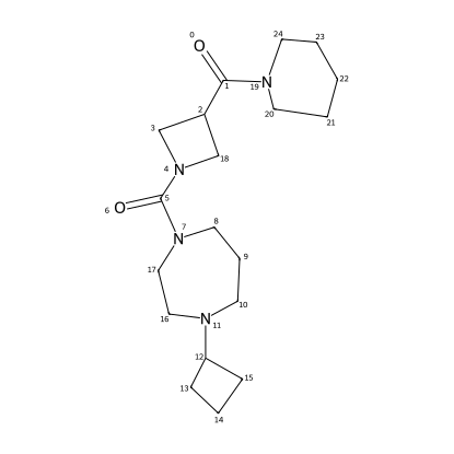 O=C(C1CN(C(=O)N2CCCN(C3CCC3)CC2)C1)N1CCCCC1